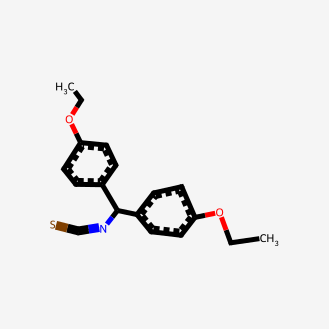 CCOc1ccc(C(N=C=S)c2ccc(OCC)cc2)cc1